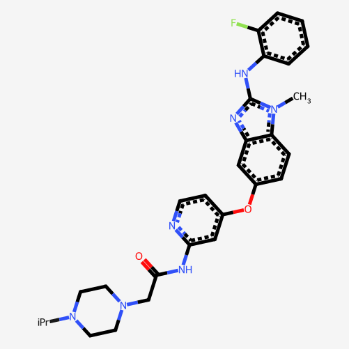 CC(C)N1CCN(CC(=O)Nc2cc(Oc3ccc4c(c3)nc(Nc3ccccc3F)n4C)ccn2)CC1